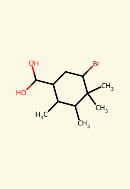 CC1C(C(O)O)CC(Br)C(C)(C)C1C